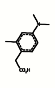 Cc1cc(N(C)C)ccc1CC(=O)O